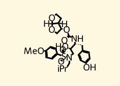 COc1ccc(S(=O)(=O)N(CC(C)C)C[C@@H](O)[C@@H](Cc2ccc(O)cc2)NC(=O)O[C@@H]2CO[C@@H]3OCC[C@@H]32)cc1